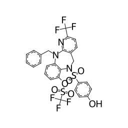 O=S(=O)(c1ccc(O)cc1)N1Cc2ccc(C(F)(F)F)nc2N(Cc2ccccc2)c2cccc(OS(=O)(=O)C(F)(F)F)c21